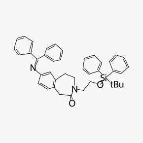 CC(C)(C)[Si](OCCN1CCc2cc(N=C(c3ccccc3)c3ccccc3)ccc2CC1=O)(c1ccccc1)c1ccccc1